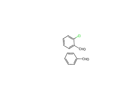 O=Cc1ccccc1.O=Cc1ccccc1Cl